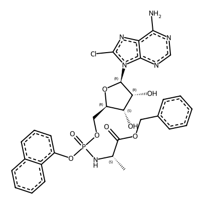 C[C@H](NP(=O)(OC[C@H]1O[C@@H](n2c(Cl)nc3c(N)ncnc32)[C@H](O)[C@@H]1O)Oc1cccc2ccccc12)C(=O)OCc1ccccc1